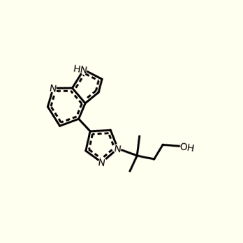 CC(C)(CCO)n1cc(-c2ccnc3[nH]ccc23)cn1